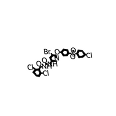 O=C(NC(=O)c1c(Cl)cccc1Cl)Nc1cnc(Oc2ccc(S(=O)(=O)c3ccc(Cl)cc3)cc2)c(Br)c1